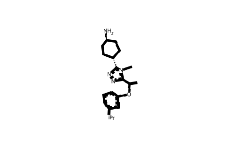 CC(C)c1cccc(OC(C)c2nnc([C@H]3CC[C@H](N)CC3)n2C)c1